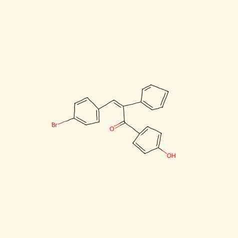 O=C(C(=Cc1ccc(Br)cc1)c1ccccc1)c1ccc(O)cc1